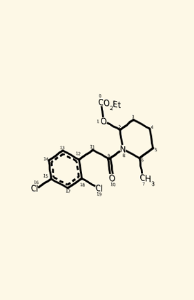 CCOC(=O)OC1CCCC(C)N1C(=O)Cc1ccc(Cl)cc1Cl